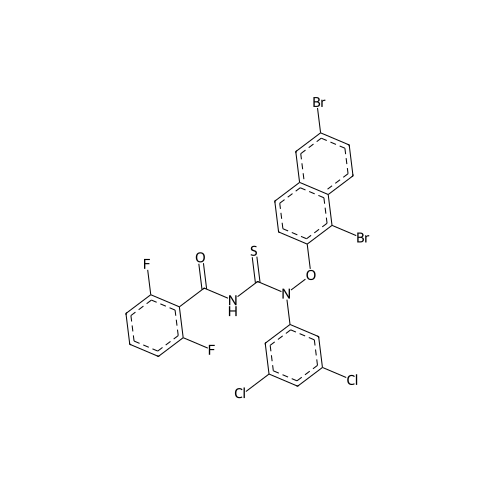 O=C(NC(=S)N(Oc1ccc2cc(Br)ccc2c1Br)c1cc(Cl)cc(Cl)c1)c1c(F)cccc1F